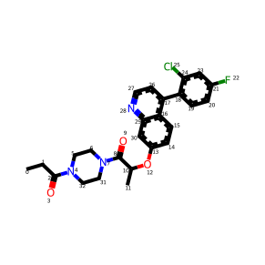 CCC(=O)N1CCN(C(=O)C(C)Oc2ccc3c(-c4ccc(F)cc4Cl)ccnc3c2)CC1